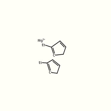 CCC1=[C-]CC=C1.CCC1=[C-]CC=C1.[Mg+2]